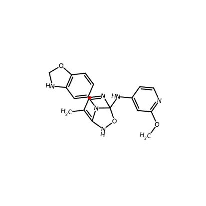 COc1cc(NC23N=CC(C)=C(NO2)N3c2ccc3c(c2)NCO3)ccn1